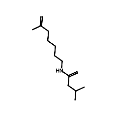 C=C(C)CCCCCNC(=C)CC(C)C